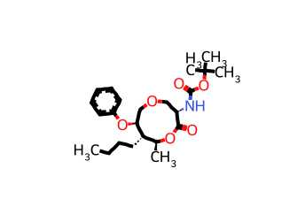 CCCC[C@H]1[C@H](C)OC(=O)[C@@H](NC(=O)OC(C)(C)C)COC[C@@H]1Oc1ccccc1